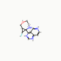 FC1C2COCCNC12c1ncnc2ccncc12